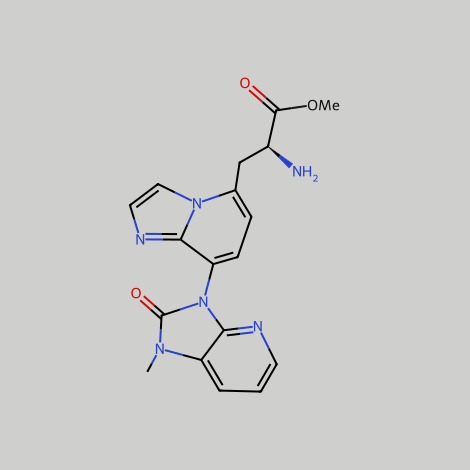 COC(=O)[C@@H](N)Cc1ccc(-n2c(=O)n(C)c3cccnc32)c2nccn12